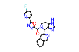 O=C(c1nnc(-c2ccc(F)cn2)o1)N1CCc2[nH]cnc2[C@@H]1c1cc2ccccc2cn1